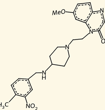 COc1ccc2ncc(=O)n(CCN3CCC(NCc4ccc(C)c([N+](=O)[O-])c4)CC3)c2c1